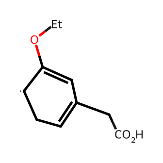 CCOC1=CC(CC(=O)O)=CC[CH]1